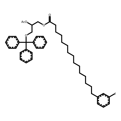 CC(=O)OC(COC(=O)CCCCCCCCCCCCCCc1cccc(I)c1)COC(c1ccccc1)(c1ccccc1)c1ccccc1